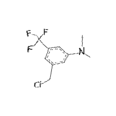 CN(C)c1cc(CCl)cc(C(F)(F)F)c1